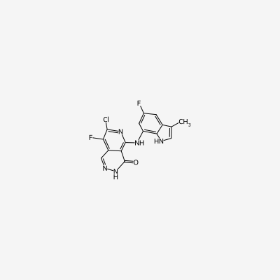 Cc1c[nH]c2c(Nc3nc(Cl)c(F)c4cn[nH]c(=O)c34)cc(F)cc12